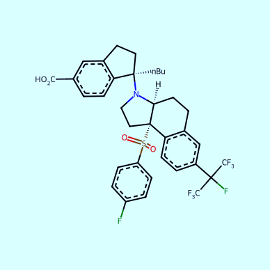 CCCC[C@@]1(N2CC[C@]3(S(=O)(=O)c4ccc(F)cc4)c4ccc(C(F)(C(F)(F)F)C(F)(F)F)cc4CC[C@H]23)CCc2cc(C(=O)O)ccc21